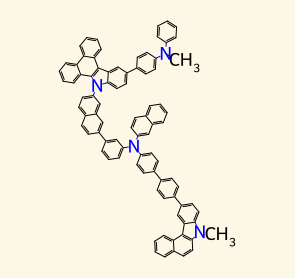 CN(c1ccccc1)c1ccc(-c2ccc3c(c2)c2c4ccccc4c4ccccc4c2n3-c2ccc3ccc(-c4cccc(N(c5ccc(-c6ccc(-c7ccc8c(c7)c7c9ccccc9ccc7n8C)cc6)cc5)c5ccc6ccccc6c5)c4)cc3c2)cc1